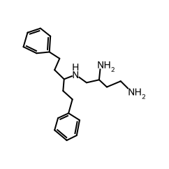 NCCC(N)CNC(CCc1ccccc1)CCc1ccccc1